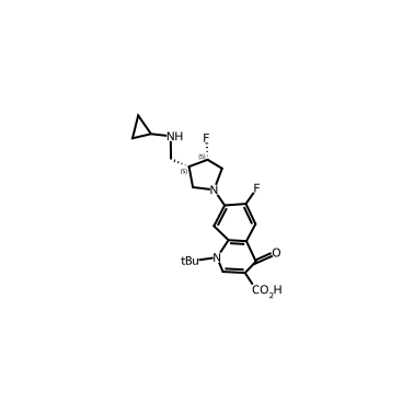 CC(C)(C)n1cc(C(=O)O)c(=O)c2cc(F)c(N3C[C@H](CNC4CC4)[C@H](F)C3)cc21